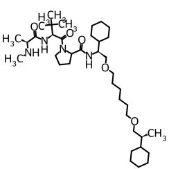 CN[C@@H](C)C(=O)N[C@H](C(=O)N1CCCC1C(=O)N[C@H](COCCCCCCOC[C@@H](C)C1CCCCC1)C1CCCCC1)C(C)(C)C